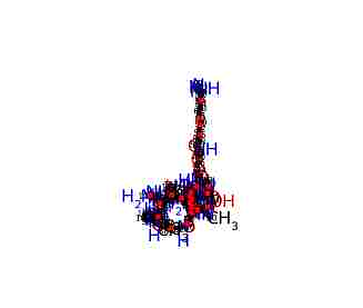 CCCC[C@H](NC(=O)[C@H](CO)NC(=O)[C@H](Cc1c[nH]cn1)NC(=O)[C@H](CCC(N)=O)NC(=O)[C@H](CO)NC(=O)CNC(=O)COCCOCCNC(=O)CCCCCCCCCCCCCCCc1nnn[nH]1)C(=O)N[C@H]1CCC(=O)NCCCC[C@@H](C(C)=O)NC(=O)[C@H](Cc2c[nH]c3ccccc23)NC(=O)[C@H](CCCNC(=N)N)NC(=O)[C@@H](Cc2ccccc2)NC(=O)[C@H](CN)CC1=O